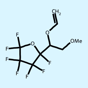 C=COC(COC)C1(F)OC(F)(F)C(F)(F)C1(F)F